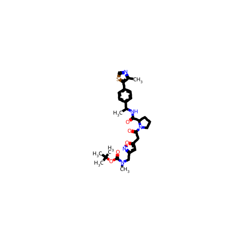 Cc1ncsc1-c1ccc(C(C)NC(=O)C2CCCN2C(=O)Cc2cc(CN(C)C(=O)OC(C)(C)C)no2)cc1